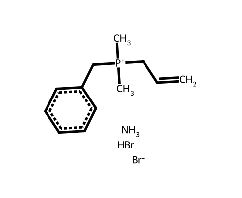 Br.C=CC[P+](C)(C)Cc1ccccc1.N.[Br-]